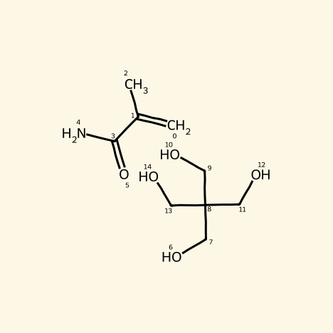 C=C(C)C(N)=O.OCC(CO)(CO)CO